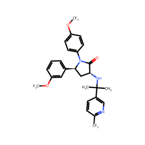 CC(C)(N[C@H]1C[C@@H](c2cccc(OC(F)(F)F)c2)N(c2ccc(OC(F)(F)F)cc2)C1=O)c1ccc(C(F)(F)F)nc1